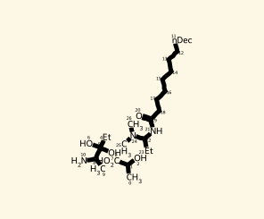 CC(O)C(=O)O.CCC(O)(O)C(C)N.CCCCCCCCCCCCCCCCCC(=O)NC(CC)N(C)C